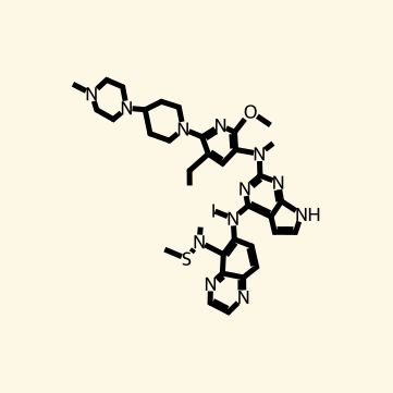 CCc1cc(N(C)c2nc(N(I)c3ccc4nccnc4c3N(C)SC)c3cc[nH]c3n2)c(OC)nc1N1CCC(N2CCN(C)CC2)CC1